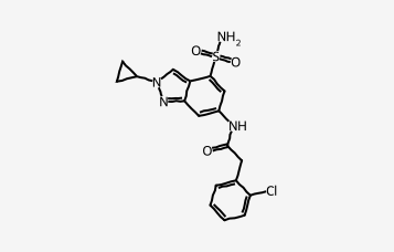 NS(=O)(=O)c1cc(NC(=O)Cc2ccccc2Cl)cc2nn(C3CC3)cc12